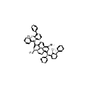 Cc1c(-c2ccccc2)cccc1N(c1ccccc1)c1cc(C(C)(C)C)c2ccc3c(N(c4ccccc4)c4cccc(-c5ccccc5)c4C)cc(C(C)(C)C)c4ccc1c2c34